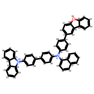 c1ccc2c(N(c3ccc(-c4ccc(-n5c6ccccc6c6ccccc65)cc4)cc3)c3ccc(-c4ccc5oc6ccccc6c5c4)cc3)cccc2c1